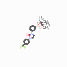 CC1(C)OB(c2cccc(N3CCN(c4ccc(C(F)(F)F)cc4)C3=O)c2)OC1(C)C